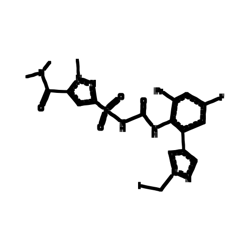 CC(C)c1cc(F)cc(-c2cnn(CI)c2)c1NC(=O)NS(=O)(=O)c1cc(C(=O)N(C)C)n(C)n1